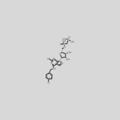 O=P(O)(O)CP(=O)(O)OC[C@H]1O[C@@H](n2ncc3c(NCc4ccc(Cl)cc4)nc(Cl)nc32)[C@H](O)[C@@H]1O